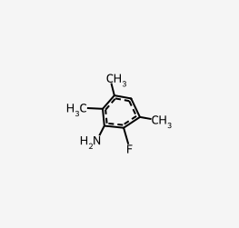 Cc1cc(C)c(F)c(N)c1C